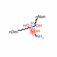 CCCCCCCCC/C=C/C=C/[C@@H](O)[C@H](COP(=O)(O)OCCN)NC(=O)C(O)CCCCCCCCCCCCCCCC